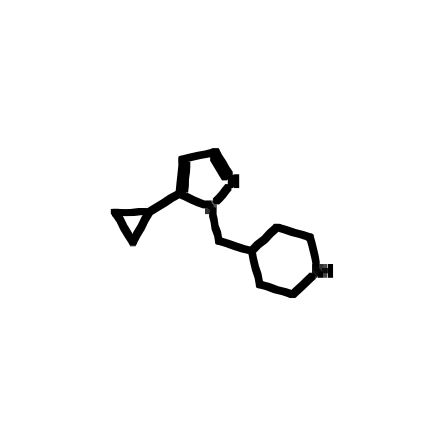 c1cc(C2CC2)n(CC2CCNCC2)n1